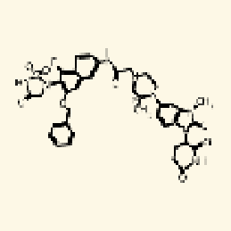 C[C@H]1CN(CC(=O)Nc2ccc3c(F)c(N4CC(=O)NS4(=O)=O)c(OCc4ccccc4)cc3c2)CCN1c1ccc2c(c1)n(C)c(=O)n2C1CCC(=O)NC1=O